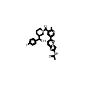 CC(=O)Nc1cn2nc(-c3cnc(C)c(C(=O)N4CCCC(C(O)c5ccc(F)cc5)C4)c3)ccc2n1